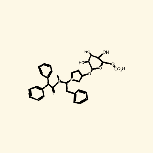 CN(C(=O)C(c1ccccc1)c1ccccc1)C(Cc1ccccc1)N1CCC(OC2OC(OC(=O)O)C(O)C(O)C2O)C1